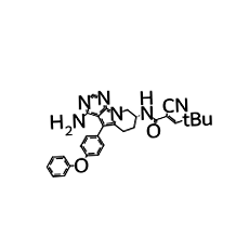 CC(C)(C)/C=C(\C#N)C(=O)N[C@@H]1CCc2c(-c3ccc(Oc4ccccc4)cc3)c3c(N)ncnc3n2C1